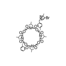 Cc1nn(Cc2ccc(C[C@H]3OC(=O)[C@H](CC(C)C)N(C)C(=O)[C@@H](C)OC(=O)[C@H](CC(C)C)N(C)C(=O)[C@@H](Cc4ccccc4)OC(=O)[C@H](CC(C)C)N(C)C(=O)[C@@H](C)OC(=O)[C@H](CC(C)C)N(C)C3=O)cc2)cc1Br